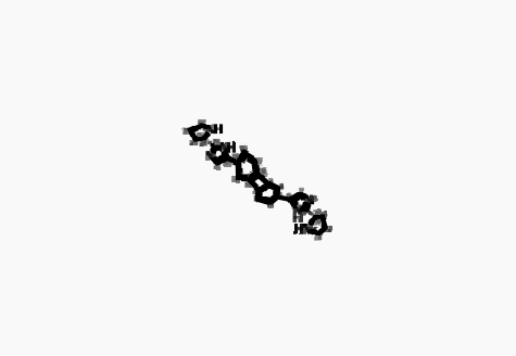 c1cc2c(cc1-c1cnc([C@@H]3CCCN3)[nH]1)-c1ccc(-c3cnc([C@@H]4CCCN4)[nH]3)cc1-2